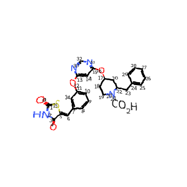 O=C1NC(=O)C(=Cc2cccc(Oc3cc(OC4CCN(C(=O)O)C(Cc5ccccc5)C4)ncn3)c2)S1